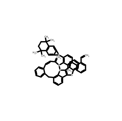 C=Cc1ccccc1-c1ccc(N2c3cc4c(cc32)C(C)(C)CCC4(C)C)c(B2C(=C)/C=C\c3ccccc3Cc3cccc4c5sc6ccccc6c5n2c34)c1C